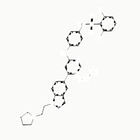 O=CO.O=S(=O)(Nc1ccc(Nc2cc(-c3ccc4c(ccn4CCN4CCCC4)c3)ncn2)cc1)c1c(F)cccc1F